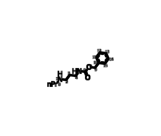 CCCNCCCNC(=O)OCc1ccccc1